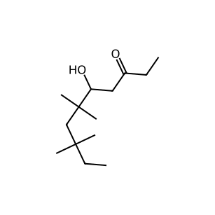 CCC(=O)CC(O)C(C)(C)CC(C)(C)CC